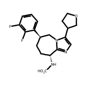 O=C(O)N[C@@H]1CC[C@@H](c2cccc(F)c2F)Cn2c(C3CCOC3)cnc21